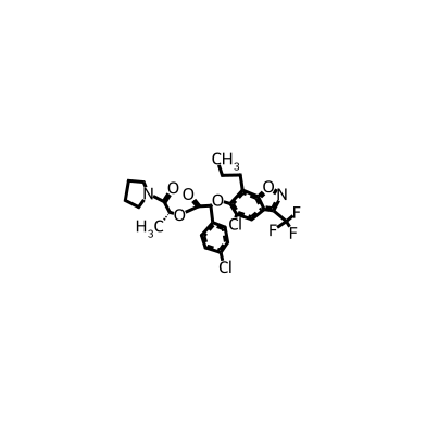 CCCc1c(OC(C(=O)O[C@H](C)C(=O)N2CCCC2)c2ccc(Cl)cc2)c(Cl)cc2c(C(F)(F)F)noc12